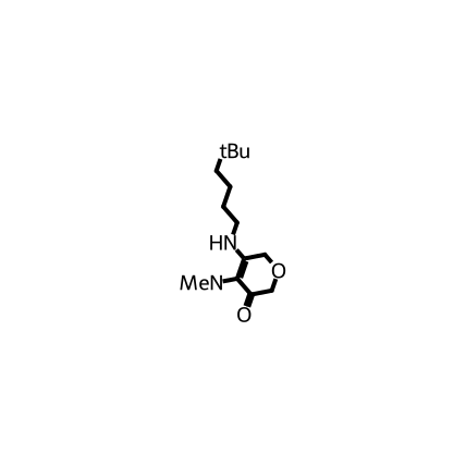 CNC1=C(NCCCCC(C)(C)C)COCC1=O